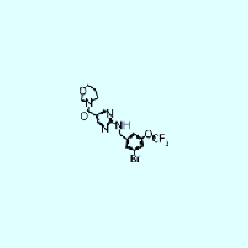 O=C(c1cnc(NCc2cc(Br)cc(OC(F)(F)F)c2)nc1)N1CCCOC1